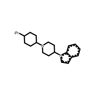 CC(C)C1CCC(N2CCC(n3ccc4ccccc43)CC2)CC1